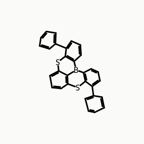 c1ccc(-c2cccc3c2Sc2cccc4c2B3c2cccc(-c3ccccc3)c2S4)cc1